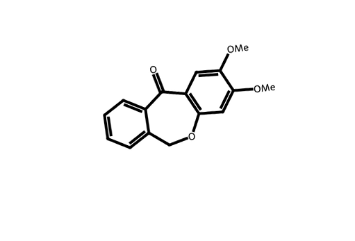 COc1cc2c(cc1OC)C(=O)c1ccccc1CO2